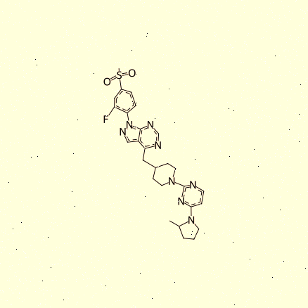 CC1CCCN1c1ccnc(N2CCC(Cc3ncnc4c3cnn4-c3ccc(S(C)(=O)=O)cc3F)CC2)n1